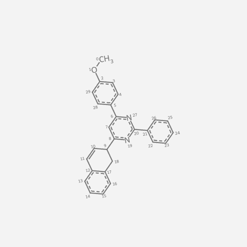 COc1ccc(-c2cc(C3C=Cc4ccccc4C3)nc(-c3ccccc3)n2)cc1